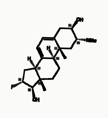 CN[C@@H]1C[C@@]2(C)C(=CC=C3[C@@H]4C[C@@H](F)[C@H](O)[C@@]4(C)CC[C@@H]32)C[C@H]1O